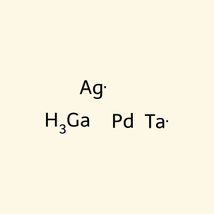 [Ag].[GaH3].[Pd].[Ta]